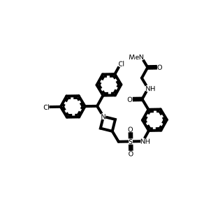 CNC(=O)CNC(=O)c1cccc(NS(=O)(=O)CC2CN(C(c3ccc(Cl)cc3)c3ccc(Cl)cc3)C2)c1